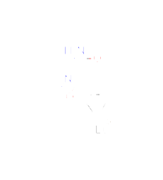 CCSc1ccc(C(CCC(N)=O)C(N)=O)cc1